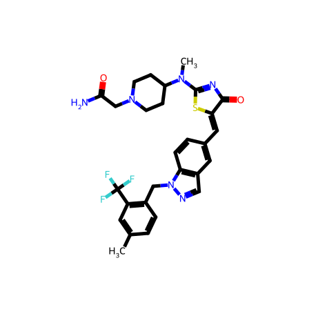 Cc1ccc(Cn2ncc3cc(/C=C4\SC(N(C)C5CCN(CC(N)=O)CC5)=NC4=O)ccc32)c(C(F)(F)F)c1